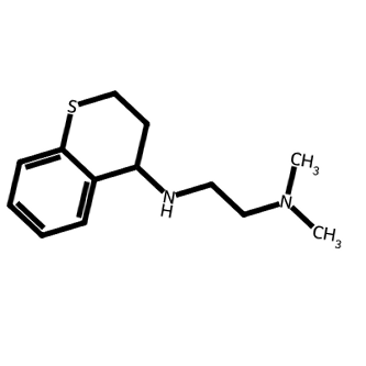 CN(C)CCNC1CCSc2ccccc21